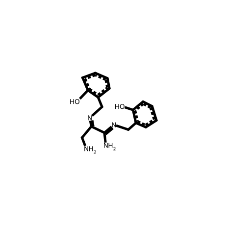 NCC(=NCc1ccccc1O)C(N)=NCc1ccccc1O